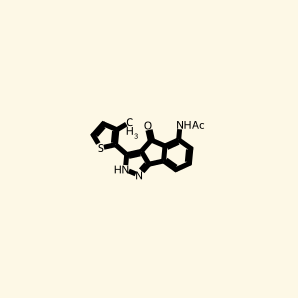 CC(=O)Nc1cccc2c1C(=O)c1c-2n[nH]c1-c1sccc1C